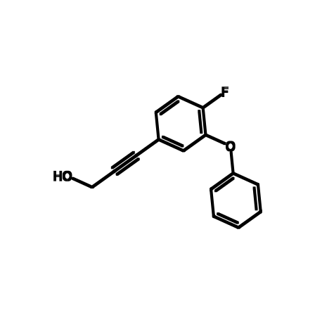 OCC#Cc1ccc(F)c(Oc2ccccc2)c1